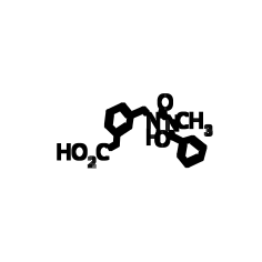 CN(C(=O)NCc1cccc(CC(=O)O)c1)C(=O)c1ccccc1